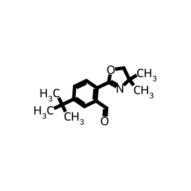 CC1(C)COC(c2ccc(C(C)(C)C)cc2C=O)=N1